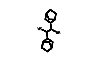 SC(C(S)C1CC2CCC1C2)C1CC2CCC1C2